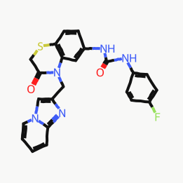 O=C(Nc1ccc(F)cc1)Nc1ccc2c(c1)N(Cc1cn3ccccc3n1)C(=O)CS2